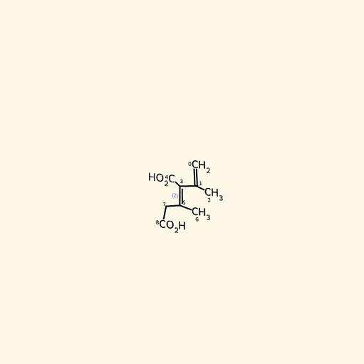 C=C(C)/C(C(=O)O)=C(\C)CC(=O)O